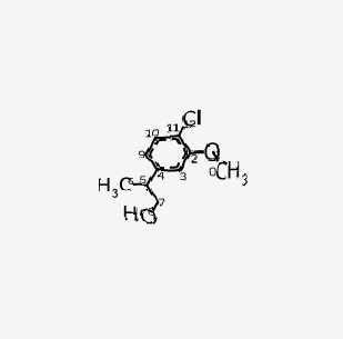 COc1cc([C](C)CO)ccc1Cl